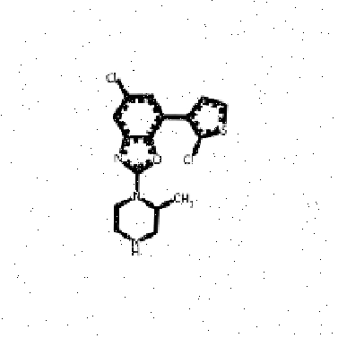 CC1CNCCN1c1nc2cc(Cl)cc(-c3ccsc3Cl)c2o1